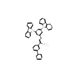 N/C(=C\Cc1cc(-n2c3c(c4ccccc42)CCC=C3)cc(-n2c3ccccc3c3ccccc32)c1)c1cccc(-c2ccccc2)c1